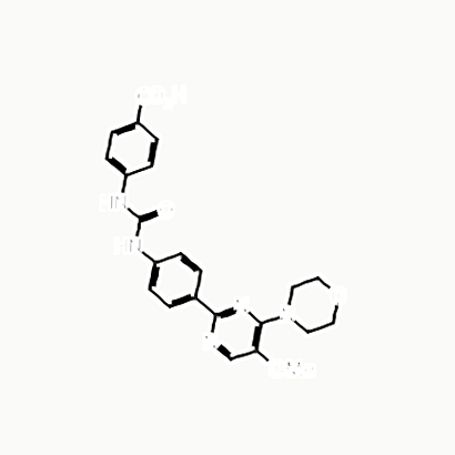 COc1cnc(-c2ccc(NC(=O)Nc3ccc(C(=O)O)cc3)cc2)nc1N1CCOCC1